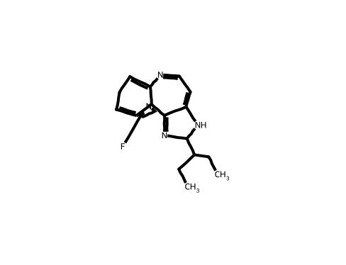 CCC(CC)C1N=C2C(=CC=NC3=CCC=C4C(F)=CC=NC342)N1